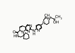 C[C@H](O)CN1CCN(c2ccc(Nc3ncc4c(n3)N3C(C=C4)C(=O)NCC34CCCCC4)nc2)C[C@@H]1C